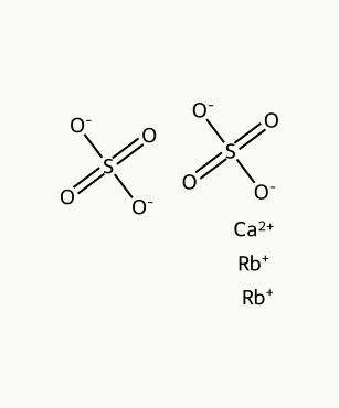 O=S(=O)([O-])[O-].O=S(=O)([O-])[O-].[Ca+2].[Rb+].[Rb+]